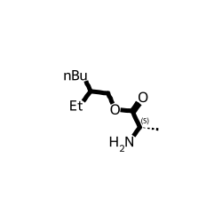 CCCCC(CC)COC(=O)[C@H](C)N